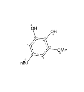 CCCCc1cc(O)c(O)c(OC)c1